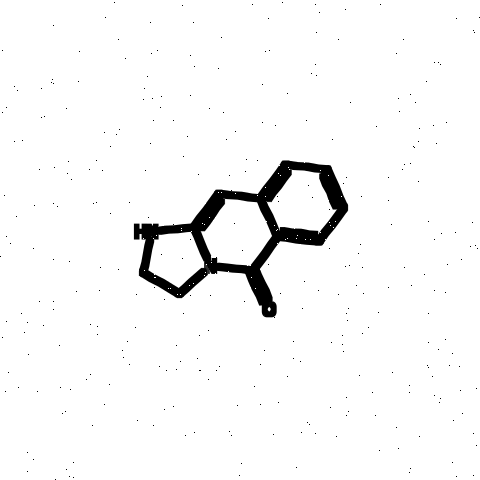 O=c1c2ccccc2cc2n1CCN2